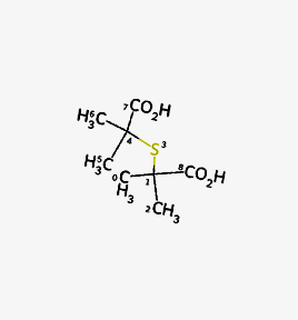 CC(C)(SC(C)(C)C(=O)O)C(=O)O